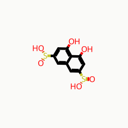 O=S(O)c1cc(O)c2c(O)cc(S(=O)O)cc2c1